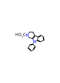 O=C(O)N1CCc2c(n(-c3ccccc3)c3ccccc23)C1